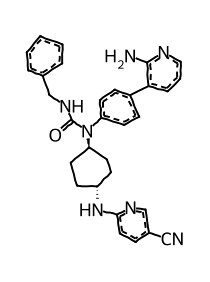 N#Cc1ccc(N[C@H]2CC[C@H](N(C(=O)NCc3ccccc3)c3ccc(-c4cccnc4N)cc3)CC2)nc1